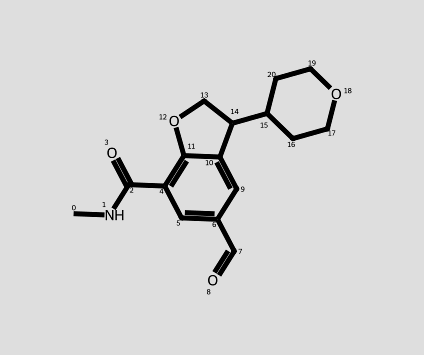 CNC(=O)c1cc(C=O)cc2c1OCC2C1CCOCC1